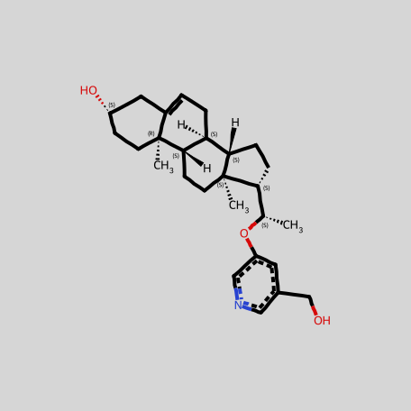 C[C@H](Oc1cncc(CO)c1)[C@H]1CC[C@H]2[C@@H]3CC=C4C[C@@H](O)CC[C@]4(C)[C@H]3CC[C@]12C